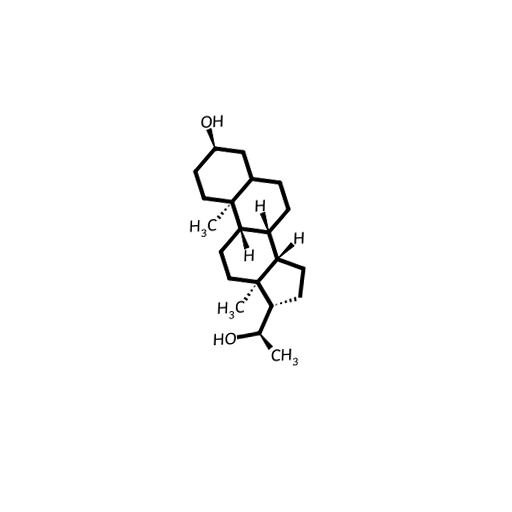 C[C@@H](O)[C@H]1CC[C@H]2[C@H]3CCC4C[C@H](O)CC[C@]4(C)[C@H]3CC[C@]12C